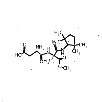 COC(=O)[C@@](C)(NC(=O)[C@@H](N)CC(=O)O)C(=O)NC1C(C)(C)CCC1(C)C